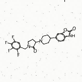 O=C1C(N2CCC(c3ccc4[nH]c(=O)oc4c3)CC2)CCN1Cc1cc(F)c(F)c(F)c1F